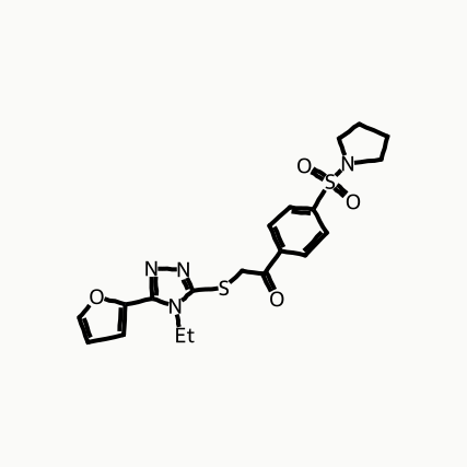 CCn1c(SCC(=O)c2ccc(S(=O)(=O)N3CCCC3)cc2)nnc1-c1ccco1